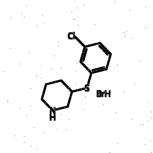 Br.Clc1cccc(SC2CCCNC2)c1